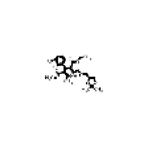 CCOC(=O)C1=C(COCC2COC(C)(C)O2)NC(C)=C(C(=O)OC)C1c1cccc(Cl)c1Cl